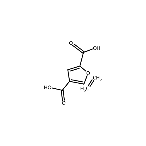 C=C.O=C(O)c1coc(C(=O)O)c1